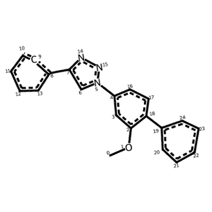 COc1cc(-n2cc(-c3ccccc3)nn2)ccc1-c1ccccc1